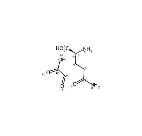 NC(=O)CC[C@H](N)C(=O)O.O=CC(=O)O